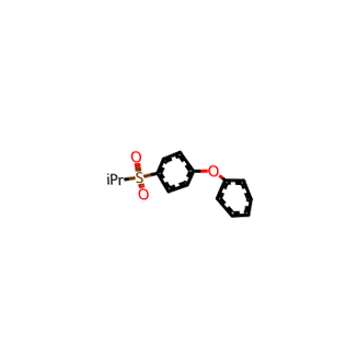 CC(C)S(=O)(=O)c1ccc(Oc2ccccc2)cc1